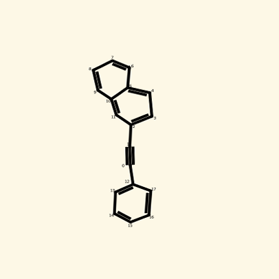 C(#Cc1ccc2[c]cccc2c1)c1ccccc1